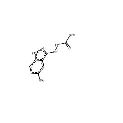 CC(C)COC(=O)NNc1n[nH]c2ccc([N+](=O)[O-])cc12